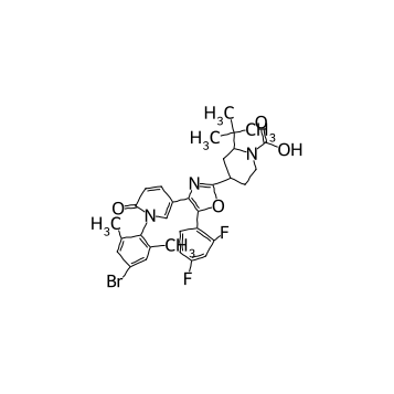 Cc1cc(Br)cc(C)c1-n1cc(-c2nc(C3CCN(C(=O)O)C(C(C)(C)C)C3)oc2-c2ccc(F)cc2F)ccc1=O